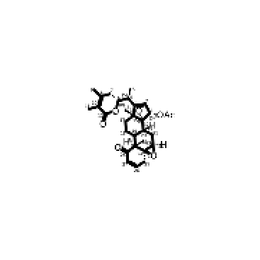 CC(=O)O[C@H]1C=C([C@H](C)[C@H]2CC(C)=C(C)C(=O)O2)[C@@]2(C)CC[C@H]3[C@@H](C[C@H]4O[C@]45CC=CC(=O)[C@]35C)[C@]12O